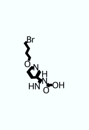 N=C(NC(=O)O)c1ccc(OCCCCBr)nc1